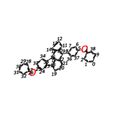 c1ccc(Oc2ccc(-c3c4ccccc4c4c5c(cccc35)-c3cc(Oc5ccccc5)ccc3-4)cc2)cc1